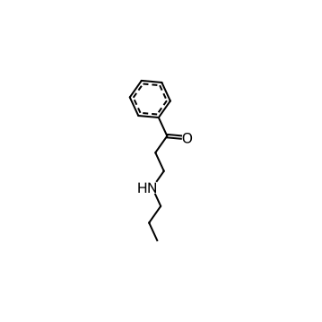 CCCNCCC(=O)c1ccccc1